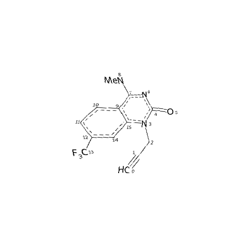 C#CCn1c(=O)nc(NC)c2ccc(C(F)(F)F)cc21